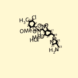 COc1cc(C)c(Cl)cc1S(=O)(=O)Nc1noc2cc(Cn3cc(CN)cn3)cc(OC)c12.Cl